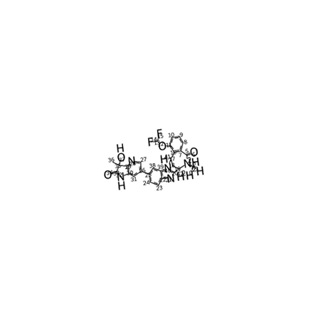 [2H]C([2H])([2H])N1C(=O)c2cccc(OC(F)F)c2[C@H]2C[C@@H]1c1nc3ccc(-c4cnc5c(c4)NC(=O)C5(C)O)cc3n12